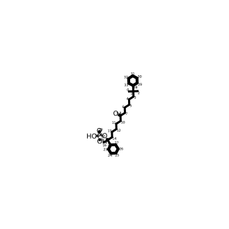 CC(C)(CCCCCC(=O)CCCCCC(C)(OP(=O)(O)O)c1ccccc1)c1ccccc1